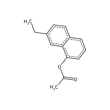 CCc1ccc2cccc(OC(C)=O)c2c1